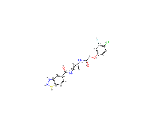 O=C(COc1ccc(Cl)c(F)c1)NC12CC(NC(=O)c3ccc4snnc4c3)(C1)C2